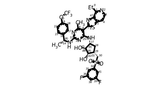 CCc1nccc2sc(-c3c(C)nc(N[C@H](C)c4ccc(OC(F)(F)F)cc4)nc3N[C@@H]3C[C@H](CS(=O)(=O)c4cc(F)cc(F)c4)[C@@H](O)[C@H]3O)nc12